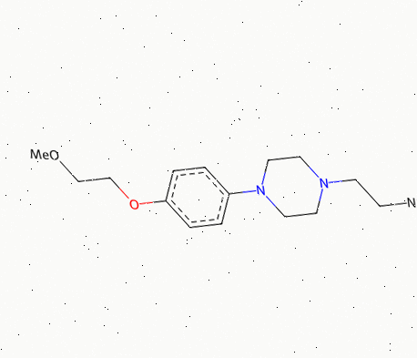 CNCCN1CCN(c2ccc(OCCOC)cc2)CC1